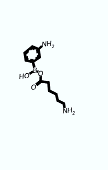 NCCCCCC(=O)OB(O)c1cccc(N)c1